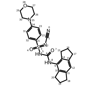 N#CN=S(=O)(NC(=O)Nc1c2c(cc3c1CCC3)CCC2)c1ccc(N2CCOCC2)cc1